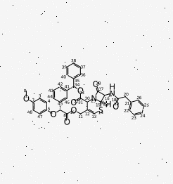 COc1ccc(OCC(=O)OCC2=CS[C@H]3C(NC(=O)Cc4ccccc4)C(=O)N3C2C(=O)OC(c2ccccc2)c2ccccc2)cc1